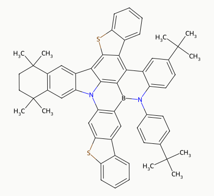 CC(C)(C)c1ccc(N2B3c4cc5c(cc4-n4c6cc7c(cc6c6c8sc9ccccc9c8c(c3c64)-c3cc(C(C)(C)C)ccc32)C(C)(C)CCC7(C)C)sc2ccccc25)cc1